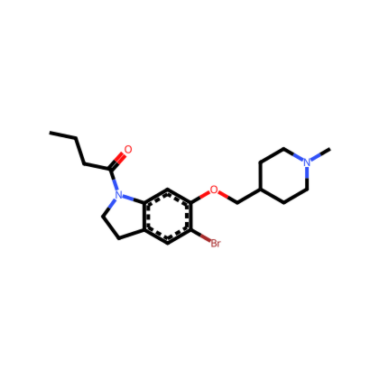 CCCC(=O)N1CCc2cc(Br)c(OCC3CCN(C)CC3)cc21